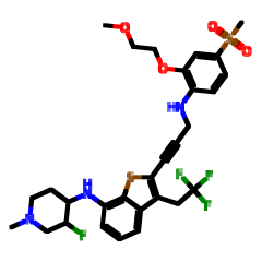 COCCOc1cc(S(C)(=O)=O)ccc1NCC#Cc1sc2c(NC3CCN(C)CC3F)cccc2c1CC(F)(F)F